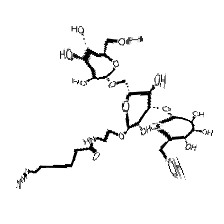 [N-]=[N+]=NCCCCC(=O)NCCO[C@H]1O[C@H](CO[C@H]2O[C@H](CO)[C@@H](O)[C@H](O)[C@@H]2O)[C@@H](O)[C@H](O[C@H]2O[C@H](CO)[C@@H](O)[C@H](O)[C@@H]2O)[C@@H]1O